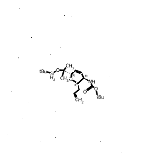 C=CC[C@H]1O[C@H](C(C)(C)O[SiH2]C(C)(C)C)C=C[C@H]1NC(=O)OC(C)(C)C